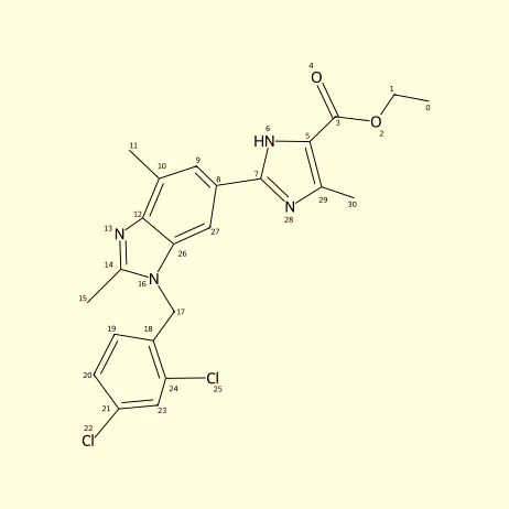 CCOC(=O)c1[nH]c(-c2cc(C)c3nc(C)n(Cc4ccc(Cl)cc4Cl)c3c2)nc1C